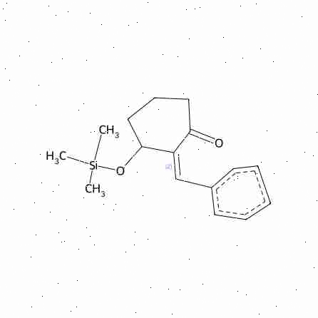 C[Si](C)(C)OC1CCCC(=O)/C1=C\c1ccccc1